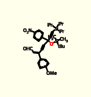 COc1ccc(/C(C#CC(C#C[Si](C(C)C)(C(C)C)C(C)C)(O[Si](C)(C)C(C)(C)C)c2ccc([N+](=O)[O-])cc2)=C/C=O)cc1